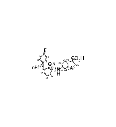 CCCN(c1ccc(F)cc1)c1cccc2c1OCC2Nc1ccc2c(c1)OCC2C(=O)O